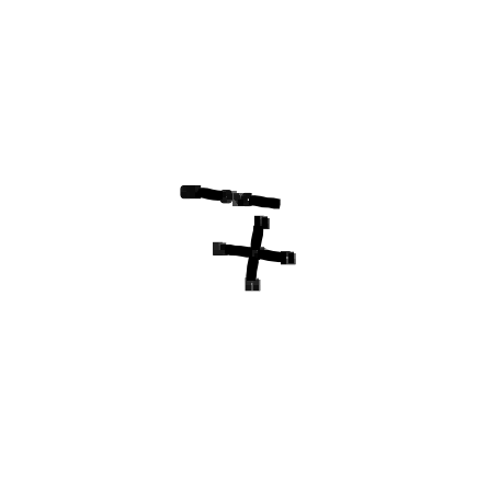 CC#N.CC[N+](CC)(CC)CC.O=N[O-]